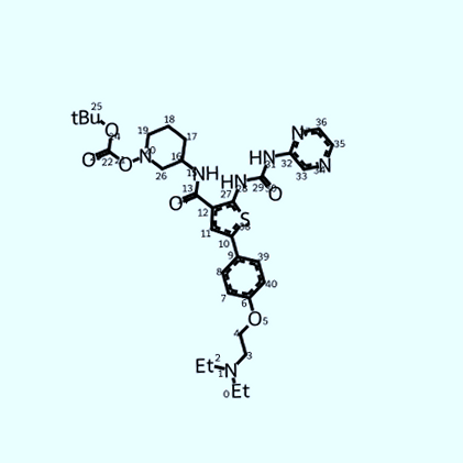 CCN(CC)CCOc1ccc(-c2cc(C(=O)NC3CCCN(OC(=O)OC(C)(C)C)C3)c(NC(=O)Nc3cnccn3)s2)cc1